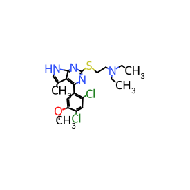 CCN(CC)CCSc1nc(-c2cc(OC)c(Cl)cc2Cl)c2c(C)c[nH]c2n1